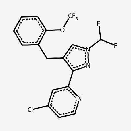 FC(F)n1cc(Cc2ccccc2OC(F)(F)F)c(-c2cc(Cl)ccn2)n1